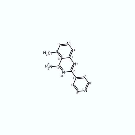 Cc1cncc2nc(-c3ccncc3)nc(N)c12